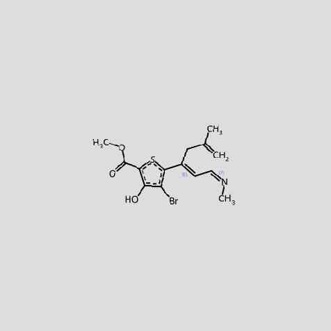 C=C(C)C/C(=C\C=N/C)c1sc(C(=O)OC)c(O)c1Br